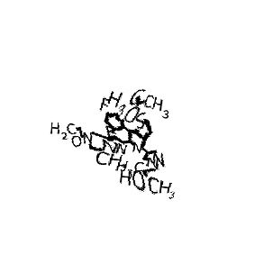 C=CC(=O)N1Cc2cc(-c3nc(-c4cnn(CC(C)(C)O)c4)c4ccsc4c3-c3c(F)cc(F)cc3OC(C)C)nn2C(C)C1